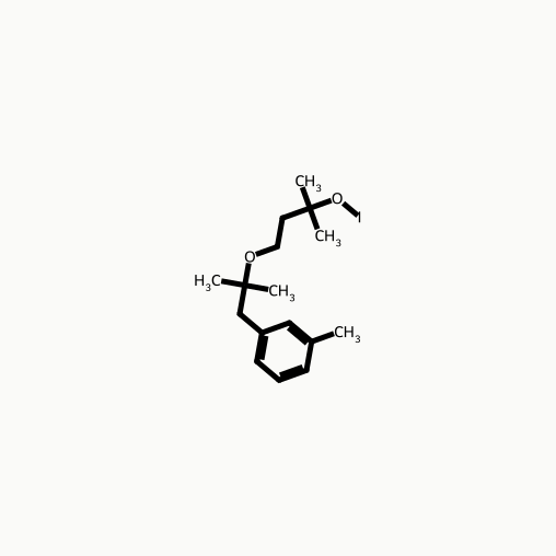 Cc1cccc(CC(C)(C)OCCC(C)(C)OI)c1